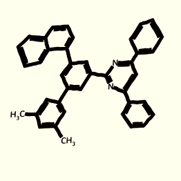 Cc1cc(C)cc(-c2cc(-c3nc(-c4ccccc4)cc(-c4ccccc4)n3)cc(-c3cccc4ccccc34)c2)c1